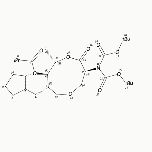 CC(C)C(=O)O[C@@H]1[C@@H](CC2CCCC2)COC[C@H](N(C(=O)OC(C)(C)C)C(=O)OC(C)(C)C)C(=O)O[C@H]1C